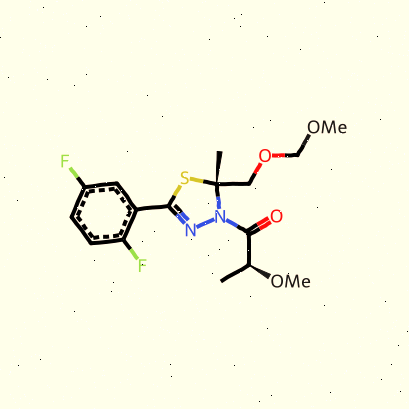 COCOC[C@@]1(C)SC(c2cc(F)ccc2F)=NN1C(=O)[C@H](C)OC